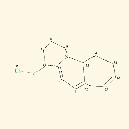 ClCC1CCCC2C1=CC=C1C=CCCC12